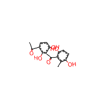 CC(=O)c1ccc(O)c(C(=O)c2c(O)ccc(O)c2C)c1O